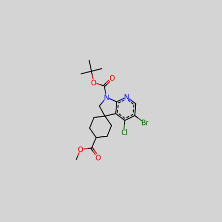 COC(=O)C1CCC2(CC1)CN(C(=O)OC(C)(C)C)c1ncc(Br)c(Cl)c12